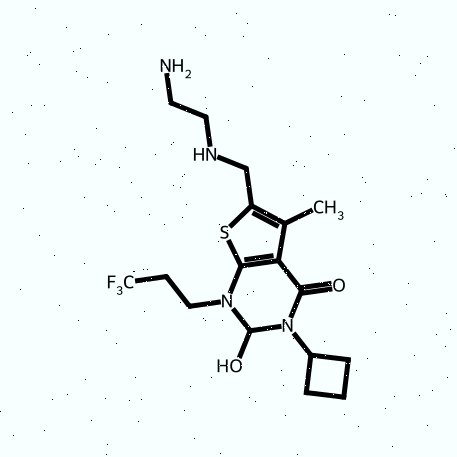 Cc1c(CNCCN)sc2c1C(=O)N(C1CCC1)C(O)N2CCC(F)(F)F